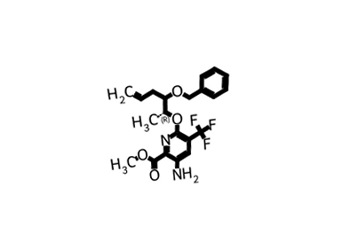 C=CCC(OCc1ccccc1)[C@@H](C)Oc1nc(C(=O)OC)c(N)cc1C(F)(F)F